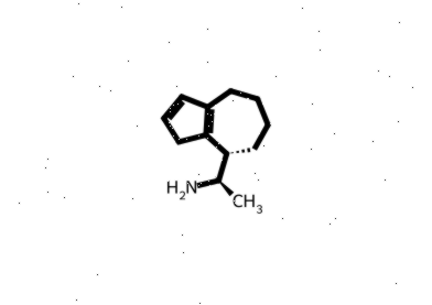 C[C@@H](N)[C@H]1CCCCC2=C1CC=C2